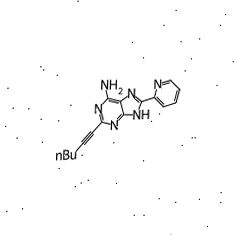 CCCCC#Cc1nc(N)c2nc(-c3ccccn3)[nH]c2n1